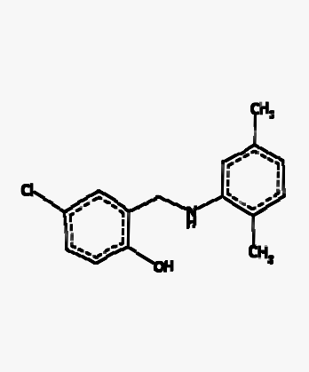 Cc1ccc(C)c(NCc2cc(Cl)ccc2O)c1